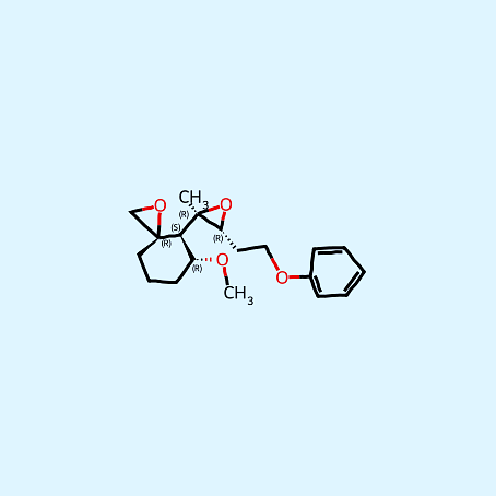 CO[C@@H]1CCC[C@]2(CO2)[C@H]1[C@@]1(C)O[C@@H]1CCOc1ccccc1